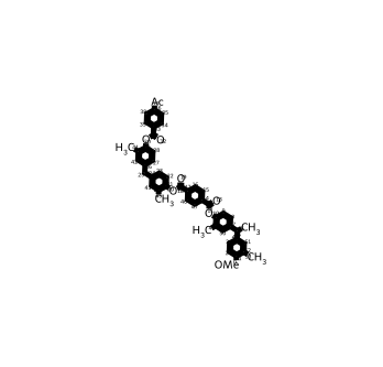 COc1ccc(C(C)c2ccc(OC(=O)c3ccc(C(=O)Oc4ccc(Cc5ccc(OC(=O)c6ccc(C(C)=O)cc6)c(C)c5)cc4C)cc3)c(C)c2)cc1C